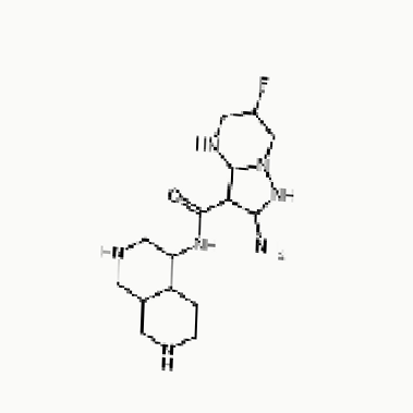 NC1NN2CC(F)CNC2C1C(=O)NC1CNCC2CNCCC21